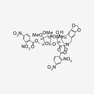 CO[C@@H]1[C@@H](OC)[C@H](O[C@@H]2CC(=O)[C@@H]3CCN(Cc4cc5c(cc43)OCO5)C(=O)[C@H]2OC(=O)c2ccc([N+](=O)[O-])cc2[N+](=O)[O-])O[C@H](COC(=O)c2ccc([N+](=O)[O-])cc2[N+](=O)[O-])[C@H]1OC